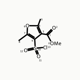 COC(=O)c1c(C)oc(C)c1S(=O)(=O)Cl